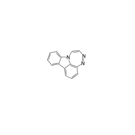 C1=Cn2c3ccccc3c3cccc(c32)N=N1